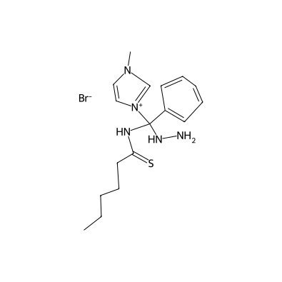 CCCCCC(=S)NC(NN)(c1ccccc1)[n+]1ccn(C)c1.[Br-]